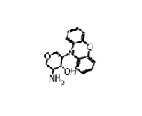 N[C@H]1COCC(N2c3ccccc3Oc3ccccc32)[C@@H]1O